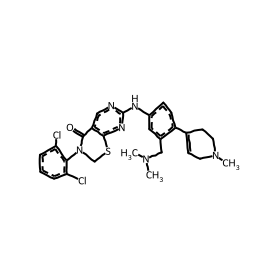 CN(C)Cc1cc(Nc2ncc3c(n2)SCN(c2c(Cl)cccc2Cl)C3=O)ccc1C1=CCN(C)CC1